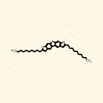 CCCCCCCCCCc1cc2cc3c(cc2o1)sc1cc2oc(CCCCCCCCCC)cc2cc13